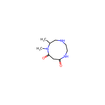 CC1CNCCNC(=O)CC(=O)N1C